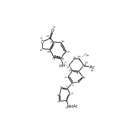 CC(=O)Nc1cccc(-c2ccc3c(c2)[C@H](Nc2ccc4c(c2)COC4=O)C[C@H](C)N3C(C)=O)c1